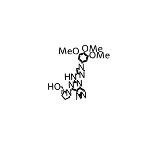 COc1cc(-n2cnc(Nc3nc(N4CCC[C@H]4CO)c4c(cnn4C)n3)c2)cc(OC)c1OC